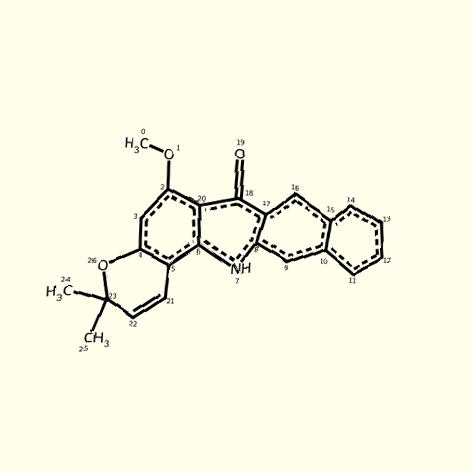 COc1cc2c(c3[nH]c4cc5ccccc5cc4c(=O)c13)C=CC(C)(C)O2